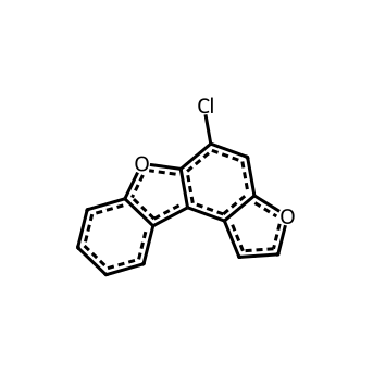 Clc1cc2occc2c2c1oc1ccccc12